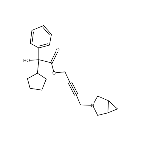 O=C(OCC#CCN1CC2CC2C1)C(O)(c1ccccc1)C1CCCC1